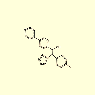 Cc1ccc(C(C(O)c2ccc(-c3ccncc3)cc2)n2ccnc2)cc1